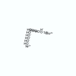 [Mo+4].[Ni+2].[OH-].[OH-].[OH-].[OH-].[OH-].[OH-].[OH-].[OH-].[OH-].[OH-].[Ti+4]